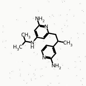 CC(C)Nc1cc(N)nc(CC(C)c2ccnc(N)c2)c1